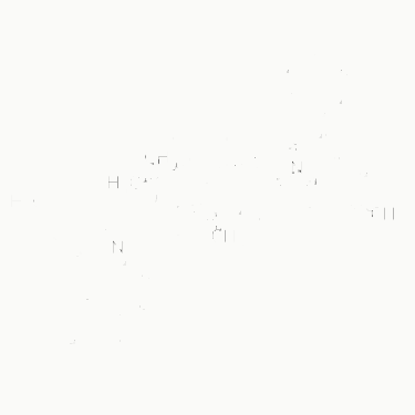 Cc1ccc(N(c2ccc3c(c2)C(C)(C)c2cccc4c2c-3c(C)c2ccc(N(c3ccc(C)cc3)c3ccc5ccccc5c3)cc24)c2ccc3ccccc3c2)cc1